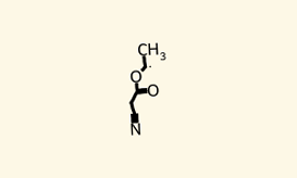 C[CH]OC(=O)CC#N